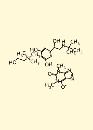 CC(C)(C)NCC(O)c1cc(O)cc(O)c1.C[N+](C)(C)CCO.Cn1c2ncnc-2c([O-])n(C)c1=O